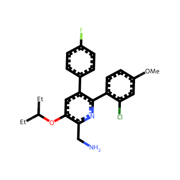 CCC(CC)Oc1cc(-c2ccc(F)cc2)c(-c2ccc(OC)cc2Cl)nc1CN